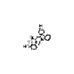 CN1c2ccccc2C2(CCNCC2)C1CC1Cc2cccc(O)c2NC1=O